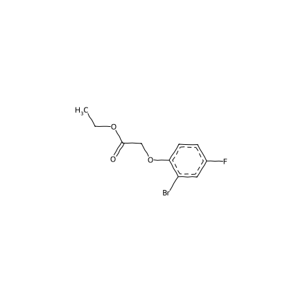 CCOC(=O)COc1ccc(F)cc1Br